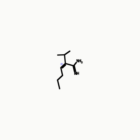 CCC/C=C(\C(=N)N)C(C)C